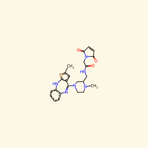 Cc1cc2c(s1)Nc1ccccc1N=C2N1CCN(C)C(CNC(=O)CN2C(=O)C=CC2=O)C1